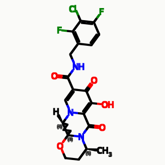 C[C@H]1CCO[C@]23CCC[C@H]2n2cc(C(=O)NCc4ccc(F)c(Cl)c4F)c(=O)c(O)c2C(=O)N13